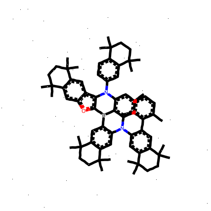 Cc1cc2c3c(c1)N(c1ccc4c(c1)C(C)(C)CCC4(C)C)c1c(oc4cc5c(cc14)C(C)(C)CCC5(C)C)B3c1cc3c(cc1N2c1cc2c(cc1-c1c(C)cccc1C)C(C)(C)CCC2(C)C)C(C)(C)CCC3(C)C